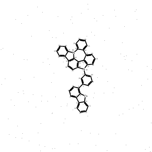 c1cc(-c2cccc3c2oc2ccccc23)cc(-n2c3cccc4c5ccccc5n5c6ccccc6c6ccc2c(c43)c65)c1